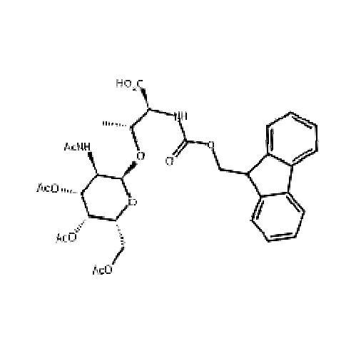 CC(=O)N[C@H]1[C@@H](O[C@H](C)[C@H](NC(=O)OCC2c3ccccc3-c3ccccc32)C(=O)O)O[C@H](COC(C)=O)[C@H](OC(C)=O)[C@@H]1OC(C)=O